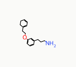 NCCCc1cccc(OCCC2=CC=CCC2)c1